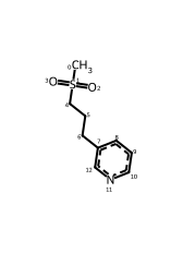 CS(=O)(=O)CCCc1cccnc1